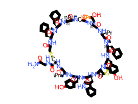 CCCC[C@H]1C(=O)N(C)CC(=O)N[C@@H](CC(O)=P)C(=O)N[C@@H](C(C)C)C(=O)N(C)[C@@H](Cc2ccccc2)C(=O)N[C@@H](Cc2ccc(O)cc2)C(=O)N2CSC[C@@H]2C(=O)N[C@@H](Cc2c[nH]c3ccccc23)C(=O)N[C@@H](Cc2ccc(O)cc2)C(=O)N[C@@H](CC(C)C)C(=O)N[C@H](C(=O)NCC(N)=O)CSCC(=O)N[C@@H](Cc2ccccc2)C(=O)N(C)[C@@H](Cc2ccccc2)C(=O)N1C